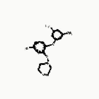 Cc1cc(C)cc(Sc2ccc(C#N)cc2SN2CCSCC2)c1